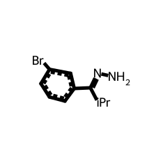 CC(C)C(=NN)c1cccc(Br)c1